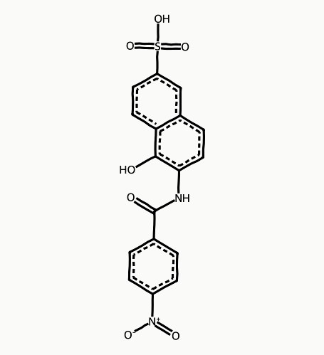 O=C(Nc1ccc2cc(S(=O)(=O)O)ccc2c1O)c1ccc([N+](=O)[O-])cc1